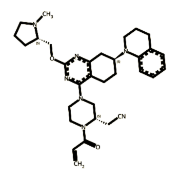 C=CC(=O)N1CCN(c2nc(OC[C@@H]3CCCN3C)nc3c2CC[C@H](N2CCCc4ccccc42)C3)C[C@@H]1CC#N